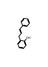 Oc1ccccc1CC=Cc1ccccc1